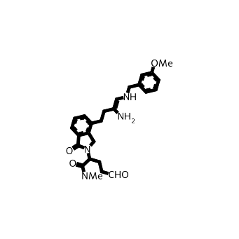 CNC(=O)C(CCC=O)N1Cc2c(CC/C(N)=C/NCc3cccc(OC)c3)cccc2C1=O